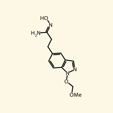 COCOn1ncc2cc(CC/C(N)=N/O)ccc21